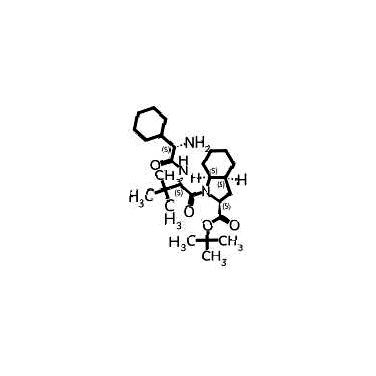 CC(C)(C)OC(=O)[C@@H]1C[C@@H]2CCCC[C@@H]2N1C(=O)[C@@H](NC(=O)[C@@H](N)C1CCCCC1)C(C)(C)C